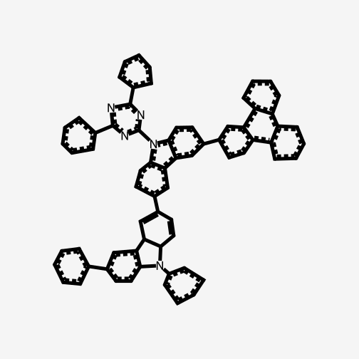 C1=CC2C(C=C1c1ccc3c(c1)c1cc(-c4ccc5c6ccccc6c6ccccc6c5c4)ccc1n3-c1nc(-c3ccccc3)nc(-c3ccccc3)n1)c1cc(-c3ccccc3)ccc1N2c1ccccc1